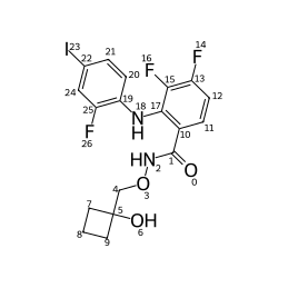 O=C(NOCC1(O)CCC1)c1ccc(F)c(F)c1Nc1ccc(I)cc1F